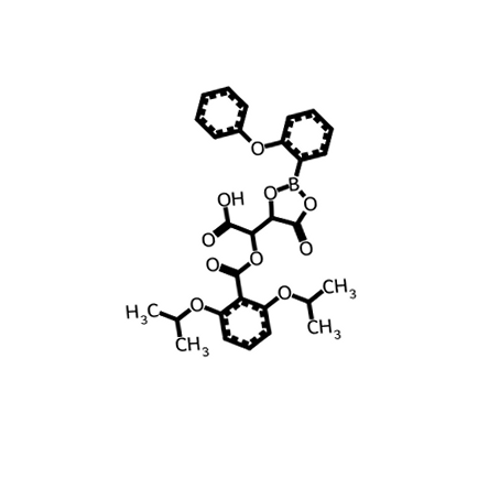 CC(C)Oc1cccc(OC(C)C)c1C(=O)OC(C(=O)O)C1OB(c2ccccc2Oc2ccccc2)OC1=O